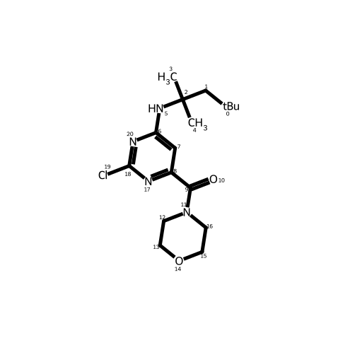 CC(C)(C)CC(C)(C)Nc1cc(C(=O)N2CCOCC2)nc(Cl)n1